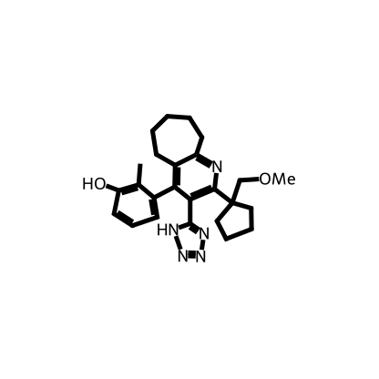 COCC1(c2nc3c(c(-c4cccc(O)c4C)c2-c2nnn[nH]2)CCCCC3)CCCC1